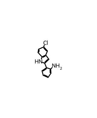 Nc1ccccc1-c1cc2cc(Cl)ccc2[nH]1